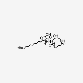 CC(O)C(NC(=O)/C=C/C=C/CCCCCC(C)(C)C)C(=O)N[C@H]1C[C@@H](O)CCNC(=O)/C=C/[C@H](C)NC1=O